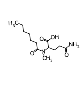 CCCCCCC(=O)N(C)C(CCC(N)=O)C(=O)O